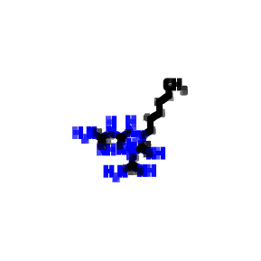 CCCCCCN(NC(=N)NC(=N)N)C(=N)NC(=N)N